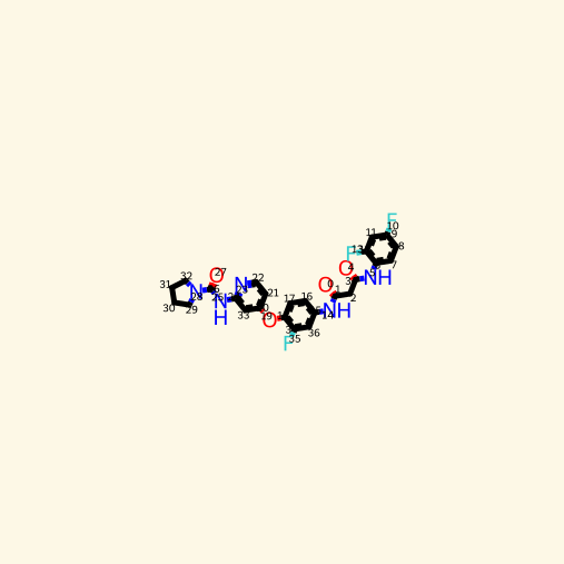 O=C(CC(=O)Nc1ccc(F)cc1F)Nc1ccc(Oc2ccnc(NC(=O)N3CCCC3)c2)c(F)c1